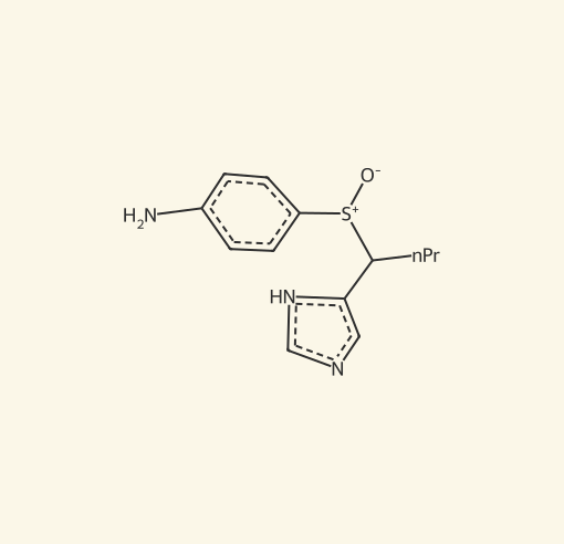 CCCC(c1cnc[nH]1)[S+]([O-])c1ccc(N)cc1